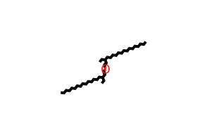 CCCCCCCCCCCCCCCC(C=COC=CC(CC)CCCCCCCCCCCCCCC)CC